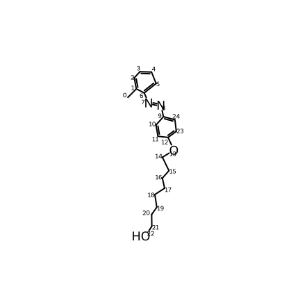 Cc1ccccc1N=Nc1ccc(OCCCCCCCCO)cc1